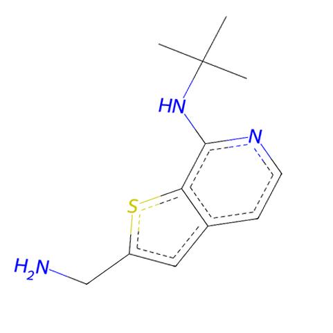 CC(C)(C)Nc1nccc2cc(CN)sc12